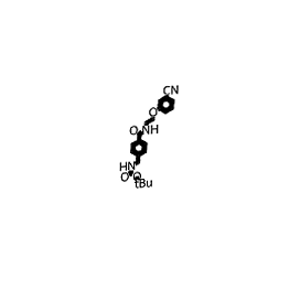 CC(C)(C)OC(=O)NCc1ccc(C(=O)NCCOc2cccc(C#N)c2)cc1